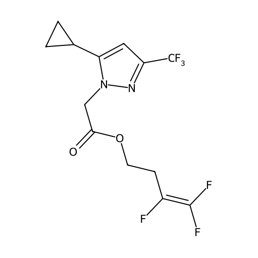 O=C(Cn1nc(C(F)(F)F)cc1C1CC1)OCCC(F)=C(F)F